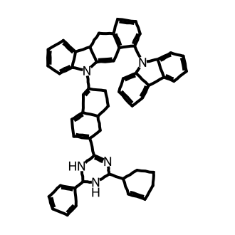 C1=CC(C2N=C(C3=CC=C4C=C(N5C6=Cc7c(cccc7-n7c8ccccc8c8ccccc87)CC6c6ccccc65)CCC4C3)NC(c3ccccc3)N2)CCC1